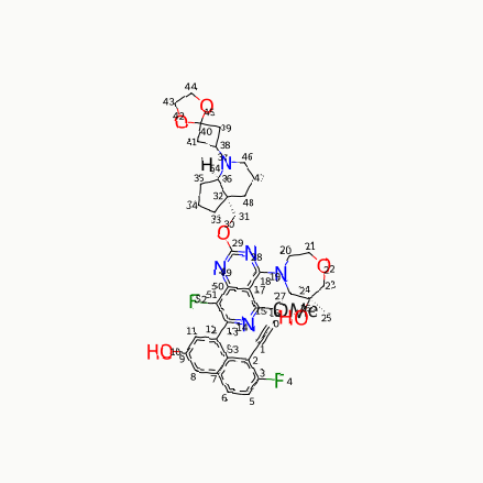 C#Cc1c(F)ccc2cc(O)cc(-c3nc(OC)c4c(N5CCOC[C@@](C)(O)C5)nc(OC[C@]56CCC[C@H]5N(C5CC7(C5)OCCO7)CCC6)nc4c3F)c12